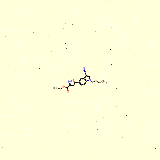 CCCCn1cc(C#N)c2cc(-c3cc(C(=O)OCC)no3)ccc21